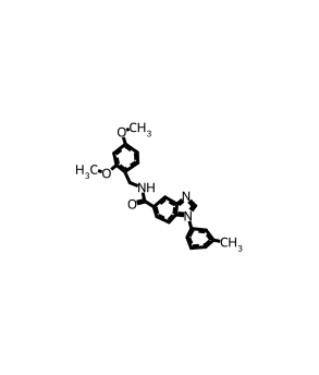 COc1ccc(CNC(=O)c2ccc3c(c2)ncn3-c2cccc(C)c2)c(OC)c1